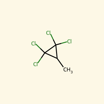 CC1C(Cl)(Cl)C1(Cl)Cl